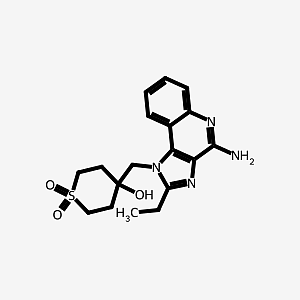 CCc1nc2c(N)nc3ccccc3c2n1CC1(O)CCS(=O)(=O)CC1